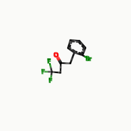 O=C(Cc1ccccc1Br)CC(F)(F)F